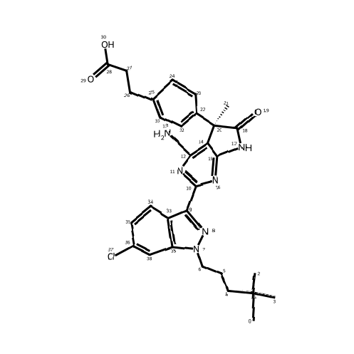 CC(C)(C)CCCn1nc(-c2nc(N)c3c(n2)NC(=O)[C@]3(C)c2ccc(CCC(=O)O)cc2)c2ccc(Cl)cc21